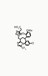 COc1cccc(C2CC(Cn3nnc(CC(=O)O)n3)c3nnc(C(F)(F)F)n3-c3ccc(Cl)cc32)c1OC